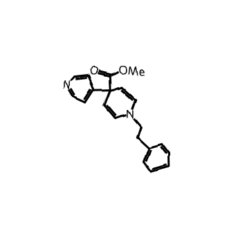 COC(=O)C1(c2ccncc2)C=CN(CCc2ccccc2)C=C1